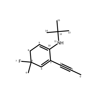 CC#CC1=CC(C)(F)CC=C1NC(C)(C)C